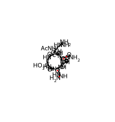 CC(=O)N[C@@H](CCCNC(=N)N)C(=O)NC1CCC(=O)NCCCC(C(=O)O)NC(=O)[C@H](C)NC(=O)[C@H](CCCNC(=N)N)NC(=O)C(Cc2ccccc2)NC(=O)[C@H](CCCNC(N)=O)NC1=O